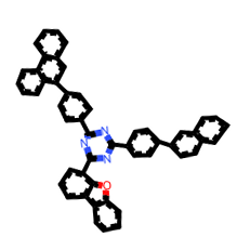 c1ccc2cc(-c3ccc(-c4nc(-c5ccc(-c6cc7ccccc7c7ccccc67)cc5)nc(-c5cccc6c5oc5ccccc56)n4)cc3)ccc2c1